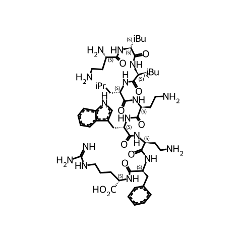 CC[C@H](C)[C@H](NC(=O)[C@@H](NC(=O)[C@@H](N)CCN)[C@@H](C)CC)C(=O)N[C@@H](CC(C)C)C(=O)N[C@@H](CCN)C(=O)N[C@@H](Cc1c[nH]c2ccccc12)C(=O)N[C@@H](CCN)C(=O)N[C@@H](Cc1ccccc1)C(=O)N[C@@H](CCCNC(=N)N)C(=O)O